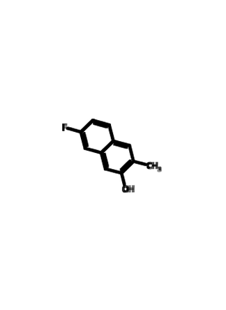 Cc1cc2ccc(F)cc2cc1O